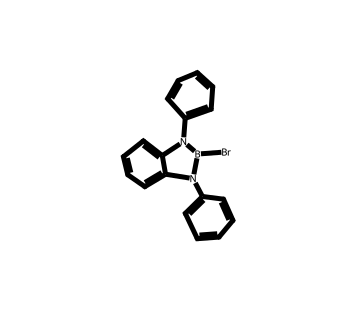 BrB1N(c2ccccc2)c2ccccc2N1c1ccccc1